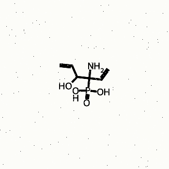 C=CC(O)C(N)(C=C)P(=O)(O)O